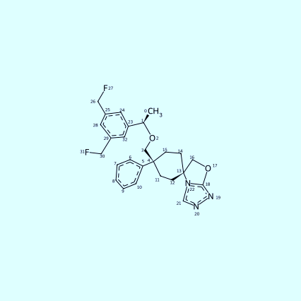 C[C@@H](OC[C@]1(c2ccccc2)CC[C@@]2(CC1)COc1nncn12)c1cc(CF)cc(CF)c1